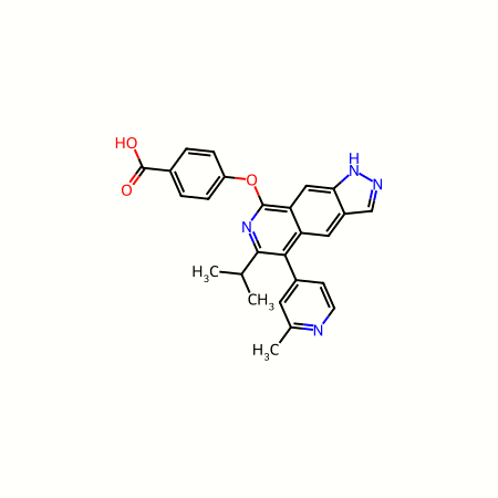 Cc1cc(-c2c(C(C)C)nc(Oc3ccc(C(=O)O)cc3)c3cc4[nH]ncc4cc23)ccn1